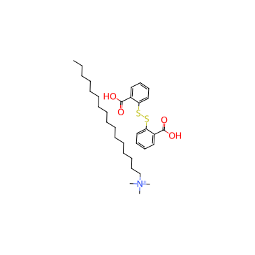 CCCCCCCCCCCCCCCC[N+](C)(C)C.O=C(O)c1ccccc1SSc1ccccc1C(=O)O